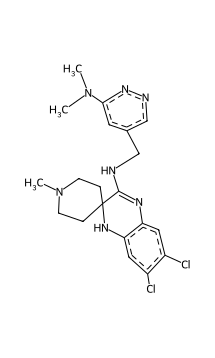 CN1CCC2(CC1)Nc1cc(Cl)c(Cl)cc1N=C2NCc1cnnc(N(C)C)c1